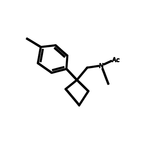 CC(=O)N(C)CC1(c2ccc(C)cc2)CCC1